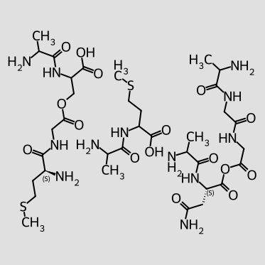 CC(N)C(=O)NCC(=O)NCC(=O)OC(=O)[C@H](CC(N)=O)NC(=O)C(C)N.CSCCC(NC(=O)C(C)N)C(=O)O.CSCC[C@H](N)C(=O)NCC(=O)OCC(NC(=O)C(C)N)C(=O)O